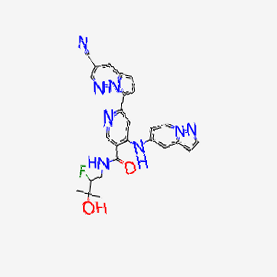 CC(C)(O)C(F)CNC(=O)c1cnc(-c2ccc3cc(C#N)cnn23)cc1Nc1ccn2nccc2c1